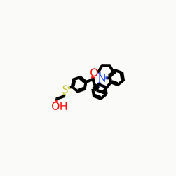 O=C(c1ccc(SCCO)cc1)C1(N2CCCCC2)C2C=CC(CC2)C1c1ccccc1